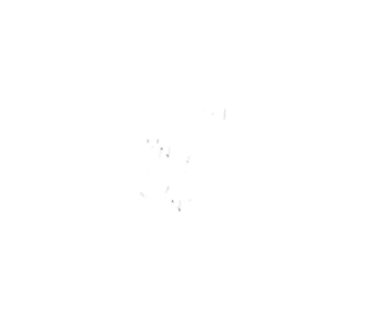 O=Nc1cccc2c1C=CC(CCO)[N+]2=O